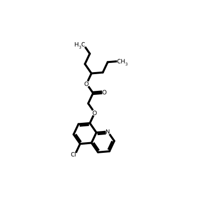 CCCC(CCC)OC(=O)COc1ccc(Cl)c2cccnc12